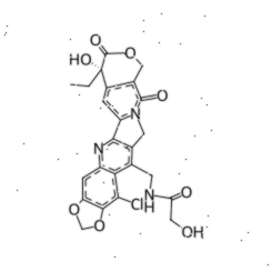 CC[C@@]1(O)C(=O)OCc2c1cc1n(c2=O)Cc2c-1nc1cc3c(c(Cl)c1c2CNC(=O)CO)OCO3